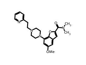 COc1cc(N2CCN(CCc3ccccn3)CC2)c2oc(C(=O)N(C)C)cc2c1